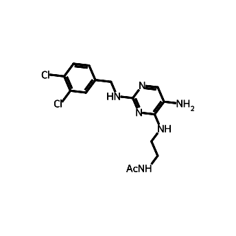 CC(=O)NCCNc1nc(NCc2ccc(Cl)c(Cl)c2)ncc1N